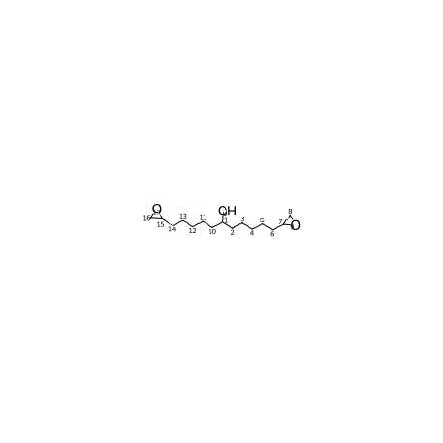 OC(CCCCCC1CO1)CCCCCC1CO1